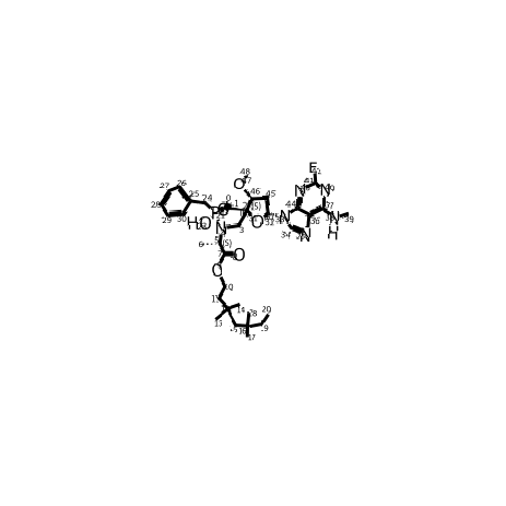 C#C[C@]1(CN([C@@H](C)C(=O)OCCC(C)(C)CC(C)(C)CC)P(=O)(O)Cc2ccccc2)O[C@@H](n2cnc3c(NC)nc(F)nc32)C[C@@H]1OC